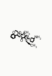 CC#CCn1c(N2CCCC(N)C2)nc2c1c(=O)n(CC1=NCCOc3ccccc31)c(=O)n2C